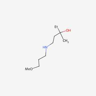 CCC(C)(O)CCNCCCOC